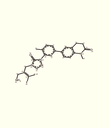 Cc1ccc(-c2ccc3c(c2)CCC(=O)N3C)nc1-n1nnn(CC(CN)=C(F)F)c1=O